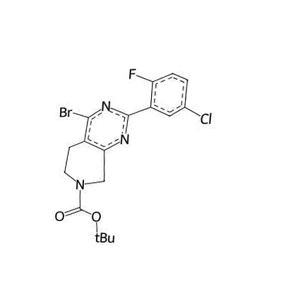 CC(C)(C)OC(=O)N1CCc2c(Br)nc(-c3cc(Cl)ccc3F)nc2C1